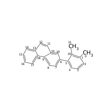 Cc1cccc(-c2ccc3c(ccc4ccccc43)c2)c1C